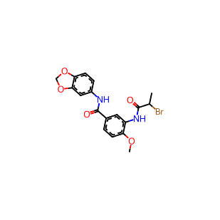 COc1ccc(C(=O)Nc2ccc3c(c2)OCO3)cc1NC(=O)C(C)Br